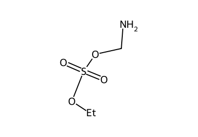 CCOS(=O)(=O)OCN